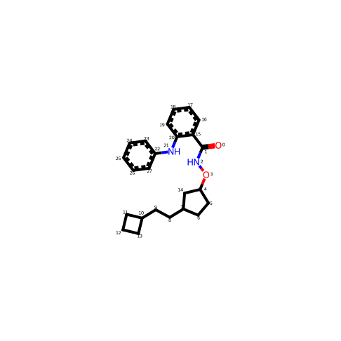 O=C(NOC1CCC(CCC2CCC2)C1)c1ccccc1Nc1ccccc1